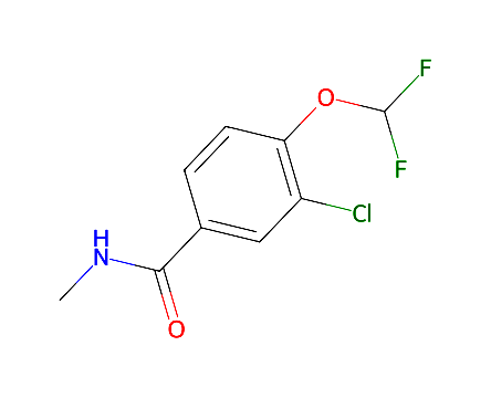 CNC(=O)c1ccc(OC(F)F)c(Cl)c1